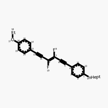 CCCCCCCc1ccc(C#C/C(F)=C(\F)C#Cc2ccc(OCC)cc2)cc1